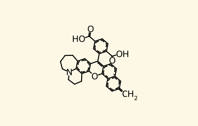 C=c1ccc2c3c(ccc2c1)=C(c1cc(C(=O)O)ccc1C(=O)O)c1cc2c4c(c1O3)CCCN4CCCC2